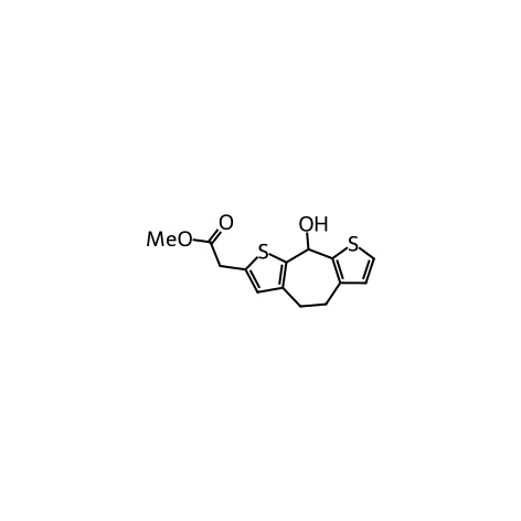 COC(=O)Cc1cc2c(s1)C(O)c1sccc1CC2